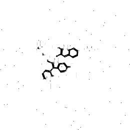 COc1ccc2cc(Cn3c(C(=O)OCOC(=O)C(C)(C)C)c(-c4ccc[nH]c4=O)c4cc(C)c(F)cc43)c(Cl)nc2c1